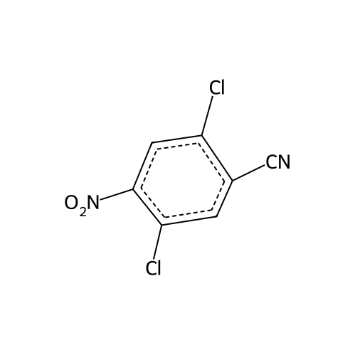 N#Cc1cc(Cl)c([N+](=O)[O-])cc1Cl